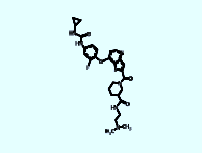 CN(C)CCNC(=O)C1CCCN(C(=O)c2cc3nccc(Oc4ccc(NC(=O)NC5CC5)cc4F)c3s2)C1